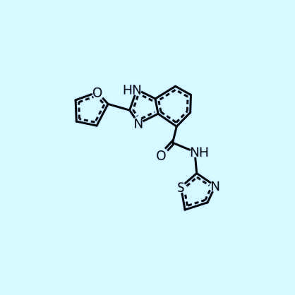 O=C(Nc1nccs1)c1cccc2[nH]c(-c3ccco3)nc12